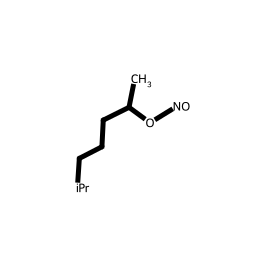 CC(C)CCCC(C)ON=O